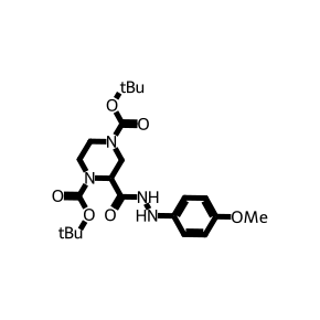 COc1ccc(NNC(=O)C2CN(C(=O)OC(C)(C)C)CCN2C(=O)OC(C)(C)C)cc1